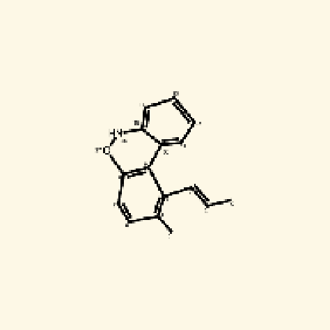 CC=Cc1c(C)ccc2c1-c1ccccc1NO2